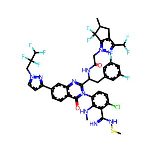 CNc1c(-n2c(C(Cc3cc(F)cc(F)c3)NC(=O)Cn3nc(C(F)F)c4c3C(F)(F)C(C)C4)nc3cc(-c4ccn(CC(F)(F)C(F)F)n4)ccc3c2=O)ccc(Cl)c1C(=N)NSC